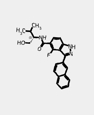 CC(C)[C@@H](CO)NC(=O)c1ccc2[nH]nc(-c3ccc4ccccc4c3)c2c1F